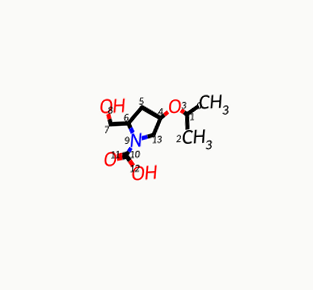 CC(C)OC1CC(CO)N(C(=O)O)C1